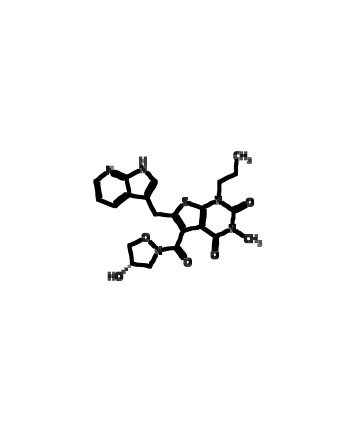 CCCn1c(=O)n(C)c(=O)c2c(C(=O)N3C[C@H](O)CO3)c(Cc3c[nH]c4ncccc34)sc21